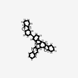 c1ccc2nc3c(cc2c1)c1c2oc4ccccc4c2cc2c4ccc(-c5ccc6oc7ccccc7c6c5)cc4n3c21